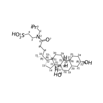 CC(C)CN(CCS(=O)(=O)O)C(=O)CC[C@@H](C)[C@H]1CC[C@H]2[C@@H]3[C@@H](O)CC4C[C@H](O)CC[C@]4(C)[C@H]3CC[C@]12C